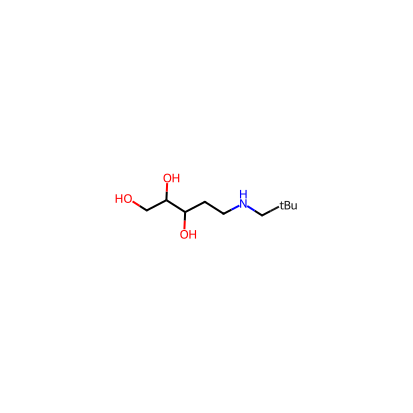 CC(C)(C)CNCCC(O)C(O)CO